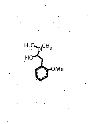 COc1cc[c]cc1CC(O)N(C)C